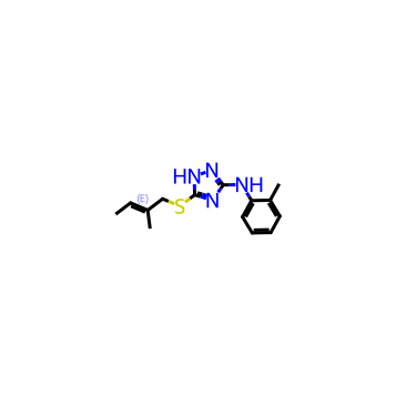 C/C=C(\C)CSc1nc(Nc2ccccc2C)n[nH]1